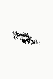 CC1CN(CCC(=O)Nc2cc(Nc3cc(-c4cc(Cl)ccc4F)nnc3SCC[Si](C)(C)C)ncn2)CC(C)N1